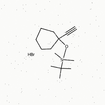 Br.C#CC1(O[Si](C)(C)C(C)(C)C)CCCCC1